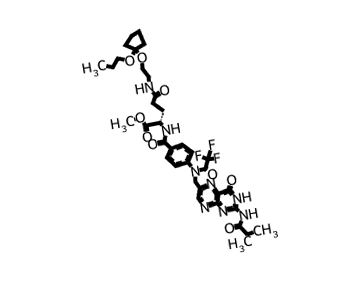 CCCOC1(OCCNC(=O)CC[C@H](NC(=O)c2ccc(N(Cc3cnc4nc(NC(=O)C(C)C)[nH]c(=O)c4n3)C(=O)C(F)(F)F)cc2)C(=O)OC)CCCC1